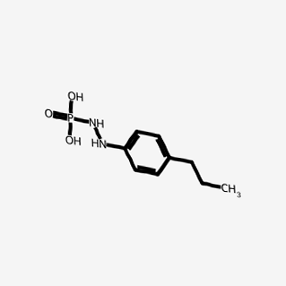 CCCc1ccc(NNP(=O)(O)O)cc1